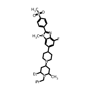 CCC1CC(N2CCC(c3cc(F)c4nc(-c5ccc(S(C)(=O)=O)cc5)n(C)c4c3)CC2)CC(C)N1CC(C)C